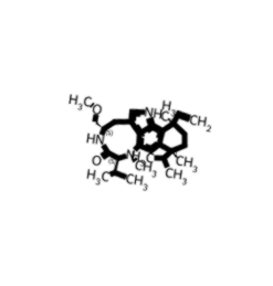 C=C[C@@]1(C)CC[C@@](C)(C(C)C)c2cc3c4c(c[nH]c4c21)C[C@@H](COC)NC(=O)[C@H](C(C)C)N3C